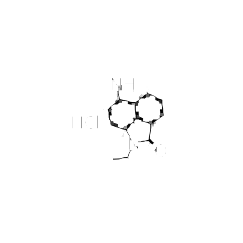 CCN1C(=O)c2cccc3c(N)ccc1c23.Cl